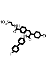 CCC1CCC(C(Cc2ccc(C(=O)NCCS(=O)(=O)O)cc2)C(=O)Nc2ccc(-c3ccc(F)cc3)cc2)CC1